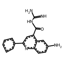 N=C(N)NC(=O)c1cc(-c2ccccc2)nc2ccc(N)cc12